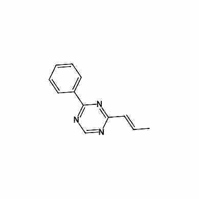 C/C=C/c1ncnc(-c2ccccc2)n1